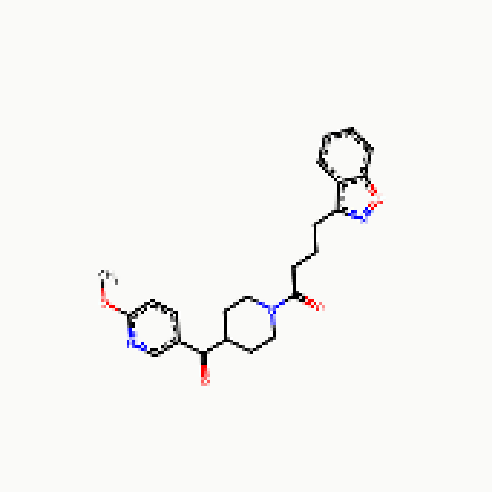 COc1ccc(C(=O)C2CCN(C(=O)CCCc3noc4ccccc34)CC2)cn1